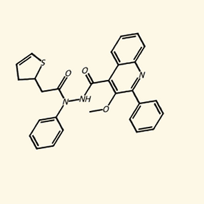 COc1c(-c2ccccc2)nc2ccccc2c1C(=O)NN(C(=O)CC1CC=CS1)c1ccccc1